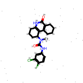 CCN(C(=O)Nc1ccc(F)c(Cl)c1)C1CCCc2[nH]c(=O)c3c(c21)CCCC3